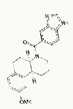 COc1ccc2c(c1)[C@@H]1CCCN(C(=O)c3ccc4[nH]cnc4c3)[C@@H]1CC2